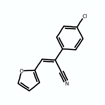 N#CC(=Cc1ccco1)c1ccc(Cl)cc1